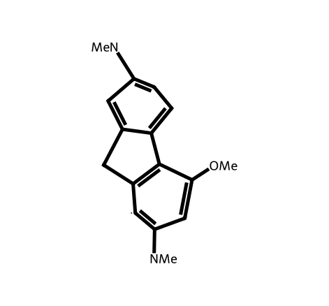 CNc1[c]c2c(c(OC)c1)-c1ccc(NC)cc1C2